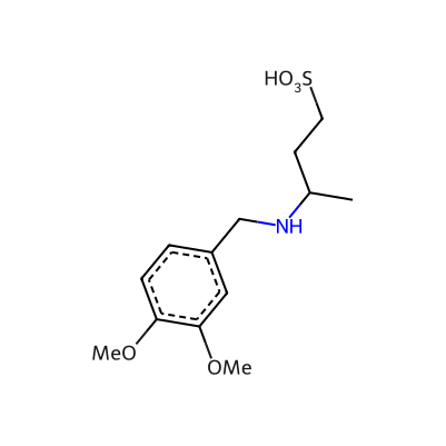 COc1ccc(CNC(C)CCS(=O)(=O)O)cc1OC